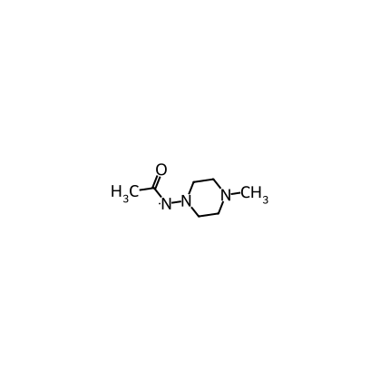 CC(=O)[N]N1CCN(C)CC1